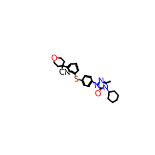 Cc1nn(-c2ccc(Sc3cccc(C4(C#N)CCOCC4)c3)cc2)c(=O)n1C1CCCCC1